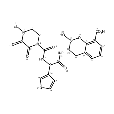 CCN1CCN(C(=O)NC(C(=O)N[C@H]2Cc3cccc(C(=O)O)c3OB2O)c2ccsc2)C(=O)C1=O